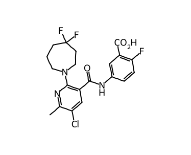 Cc1nc(N2CCCC(F)(F)CC2)c(C(=O)Nc2ccc(F)c(C(=O)O)c2)cc1Cl